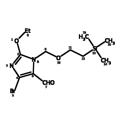 CCOc1nc(Br)c(C=O)n1COCC[Si](C)(C)C